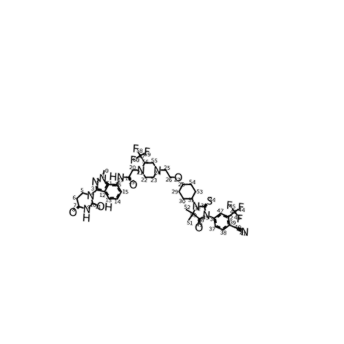 Cn1nc(N2CCC(=O)NC2O)c2cccc(NC(=O)CN3CCN(CCO[C@H]4CC[C@H](N5C(=S)N(c6ccc(C#N)c(C(F)(F)F)c6)C(=O)C5(C)C)CC4)C[C@@H]3C(F)(F)F)c21